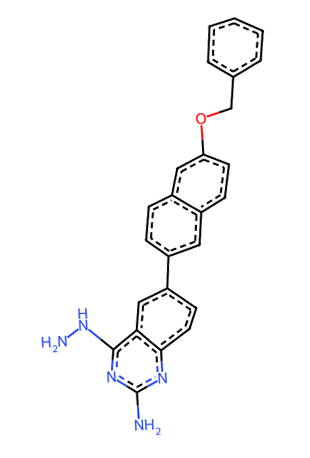 NNc1nc(N)nc2ccc(-c3ccc4cc(OCc5ccccc5)ccc4c3)cc12